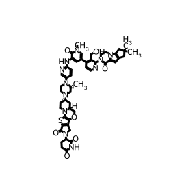 C[C@H]1CN([C@@H]2CCN3c4sc5c(c4OC[C@H]3C2)CN(C2CCC(=O)NC2=O)C5=O)CCN1c1ccc(Nc2cc(-c3ccnc(N4CCn5c(cc6c5CC(C)(C)C6)C4=O)c3CO)cn(C)c2=O)nc1